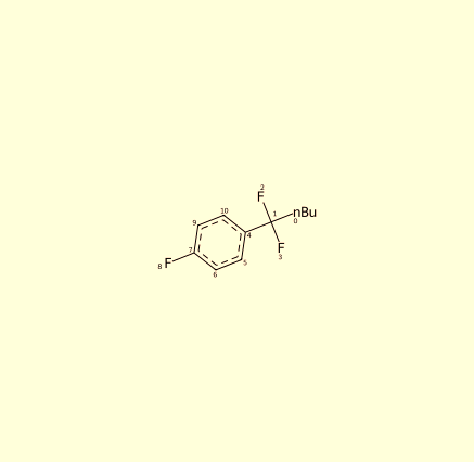 [CH2]CCCC(F)(F)c1ccc(F)cc1